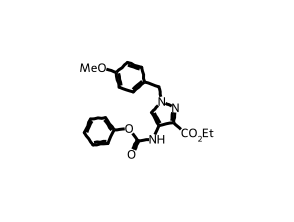 CCOC(=O)c1nn(Cc2ccc(OC)cc2)cc1NC(=O)Oc1ccccc1